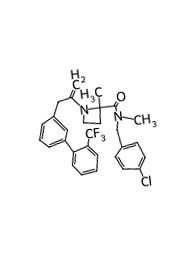 C=C(Cc1cccc(-c2ccccc2C(F)(F)F)c1)N1CCC1(C)C(=O)N(C)Cc1ccc(Cl)cc1